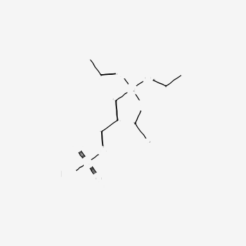 CCO[Si](CCCOS(=O)(=O)O)(OCC)OCC